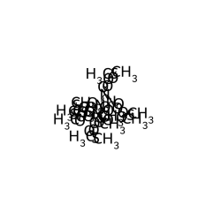 CSCC(C)C(=O)OCCOC(=O)CCN(CCCCN(CCCN(CCC(=O)OCCOC(=O)C(C)CSC)CCC(=O)OCCOC(=O)C(C)CSC)CCC(=O)OCCOC(=O)C(C)CSC)CCCN(CCC(=O)OCCOC(=O)C(C)CSC)CCC(=O)OCCOC(=O)C(C)CSC